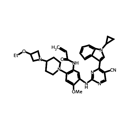 C=CC(=O)Nc1cc(Nc2ncc(C#N)c(-c3cn(C4CC4)c4ccccc34)n2)c(OC)cc1N1CCC(N2CC(OCC)C2)CC1